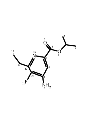 CC(C)OC(=O)c1cc(N)c(F)c(CI)n1